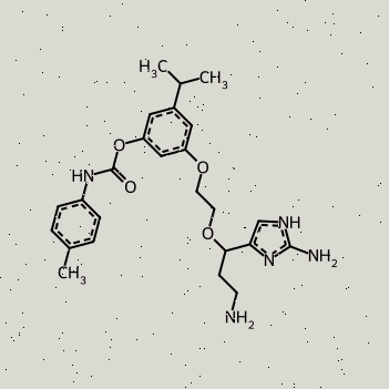 Cc1ccc(NC(=O)Oc2cc(OCCOC(CCN)c3c[nH]c(N)n3)cc(C(C)C)c2)cc1